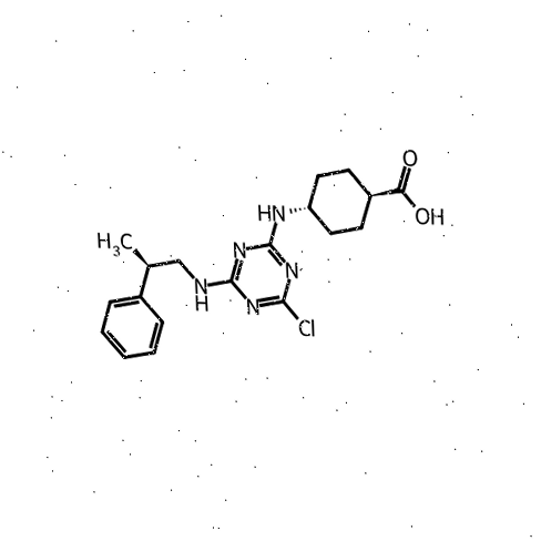 C[C@@H](CNc1nc(Cl)nc(N[C@H]2CC[C@H](C(=O)O)CC2)n1)c1ccccc1